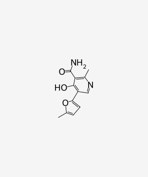 Cc1ccc(-c2cnc(C)c(C(N)=O)c2O)o1